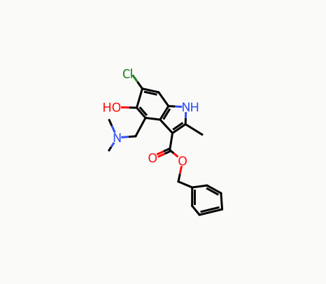 Cc1[nH]c2cc(Cl)c(O)c(CN(C)C)c2c1C(=O)OCc1ccccc1